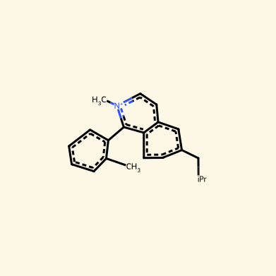 Cc1ccccc1-c1c2ccc(CC(C)C)cc2cc[n+]1C